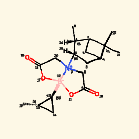 C[C@@H]1C2CC(C[C@@H]1[N+]13CC(=O)O[B-]1([C@H]1C[C@@H]1C)OC(=O)C3)C2(C)C